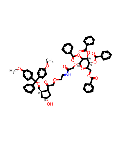 COc1ccc(C(OC[C@@H]2C[C@@H](O)CC2C(=O)COCCNC(=O)CO[C@H]2OC(COC(=O)c3ccccc3)[C@@H](OC(=O)c3ccccc3)[C@H](OC(=O)c3ccccc3)C2OC(=O)c2ccccc2)(c2ccccc2)c2ccc(OC)cc2)cc1